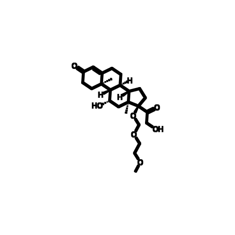 COCCOCO[C@]1(C(=O)CO)CC[C@H]2[C@@H]3CCC4=CC(=O)CC[C@]4(C)[C@H]3[C@@H](O)C[C@@]21C